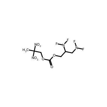 CC(COC(=O)OCC(CN(F)F)N(F)F)([N+](=O)[O-])[N+](=O)[O-]